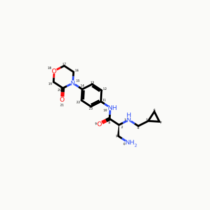 NC[C@H](NCC1CC1)C(=O)Nc1ccc(N2CCOCC2=O)cc1